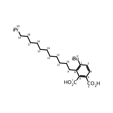 CCC(C)c1ccc(C(=O)O)c(C(=O)O)c1CCCCCCCCCCCC(C)C